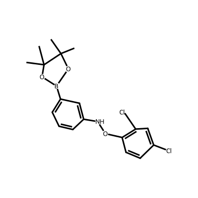 CC1(C)OB(c2cccc(NOc3ccc(Cl)cc3Cl)c2)OC1(C)C